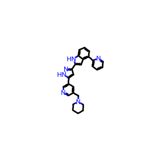 c1ccc(-c2cccc3[nH]c(-c4cc(-c5cncc(CN6CCCCC6)c5)[nH]n4)cc23)nc1